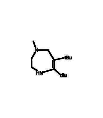 CN1CCNC(C(C)(C)C)=C(C(C)(C)C)C1